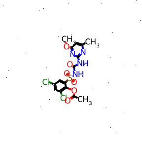 COc1cc(C)nc(NC(=O)NS(=O)(=O)c2cc(Cl)cc(Cl)c2OC(C)=O)n1